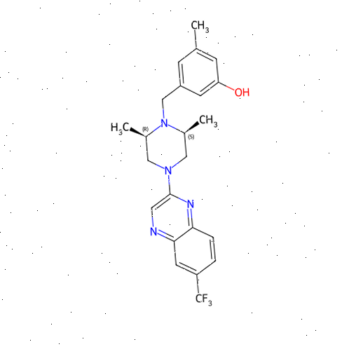 Cc1cc(O)cc(CN2[C@H](C)CN(c3cnc4cc(C(F)(F)F)ccc4n3)C[C@@H]2C)c1